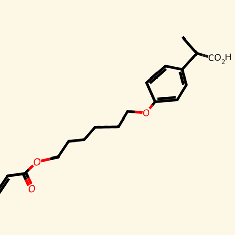 C=CC(=O)OCCCCCCOc1ccc(C(C)C(=O)O)cc1